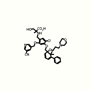 CC(CO)(NCc1cc(Cl)c(OCC2(OCCCN3CCOCC3)C=CC=C(c3ccccc3)C2(C)C)cc1OCc1cncc(C#N)c1)C(=O)O